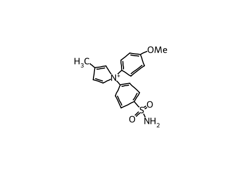 COc1ccc([N+]2(c3ccc(S(N)(=O)=O)cc3)C=CC(C)=C2)cc1